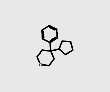 c1ccc(C2(C3CCCC3)CCOCC2)cc1